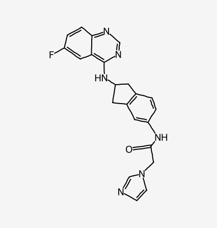 O=C(Cn1ccnc1)Nc1ccc2c(c1)CC(Nc1ncnc3ccc(F)cc13)C2